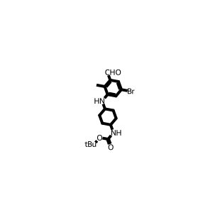 Cc1c(C=O)cc(Br)cc1NC1CCC(NC(=O)OC(C)(C)C)CC1